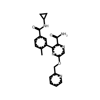 Cc1ccc(C(=O)NC2CC2)cc1-c1nc(OCc2ccccn2)cnc1C(N)=O